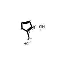 Cl.Cl.Cl.[Pt][C]1=CC=CC1